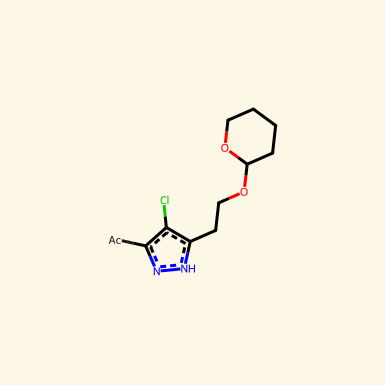 CC(=O)c1n[nH]c(CCOC2CCCCO2)c1Cl